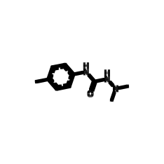 Cc1ccc(NC(=O)NN(C)C)cc1